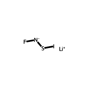 F[N-]SI.[Li+]